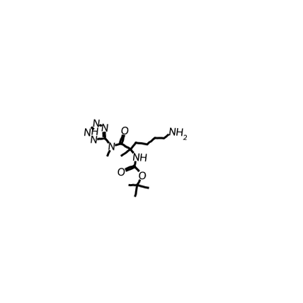 CN(C(=O)C(C)(CCCCN)NC(=O)OC(C)(C)C)c1nnn[nH]1